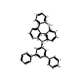 c1ccc(-c2cc(-c3ccccc3)cc(-n3c4cccc5oc6ccccc6c6cccc3c6c54)c2)cc1